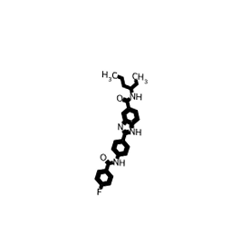 CCCC(CC)NC(=O)c1ccc2[nH]c(-c3ccc(NC(=O)c4ccc(F)cc4)cc3)nc2c1